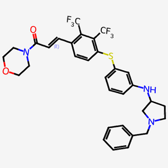 O=C(/C=C/c1ccc(Sc2cccc(NC3CCN(Cc4ccccc4)C3)c2)c(C(F)(F)F)c1C(F)(F)F)N1CCOCC1